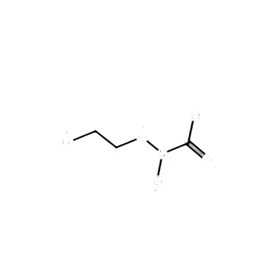 CCC(=O)N(CC)OCCC(C)C